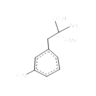 CO[C@](N)(Cc1cccc([N+](=O)[O-])c1)C(=O)O